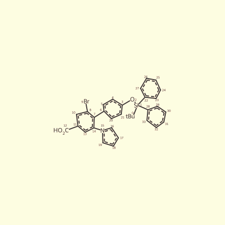 CC(C)(C)[Si](Oc1ccc(-c2c(Br)cc(C(=O)O)cc2-n2cccc2)cc1)(c1ccccc1)c1ccccc1